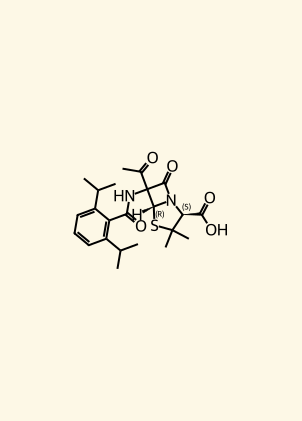 CC(=O)C1(NC(=O)c2c(C(C)C)cccc2C(C)C)C(=O)N2[C@@H](C(=O)O)C(C)(C)S[C@@H]21